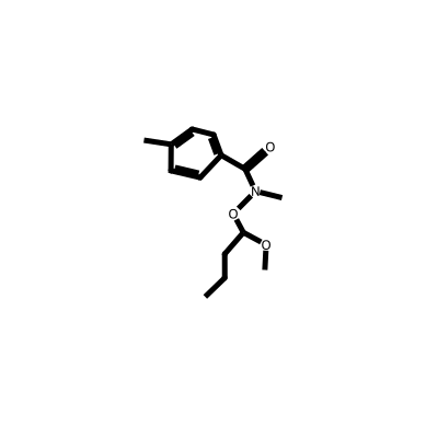 CCCC(OC)ON(C)C(=O)c1ccc(C)cc1